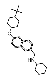 CC(C)(C)[C@H]1CC[C@H](Oc2ccc3cc(CNC4CCCCC4)ccc3c2)CC1